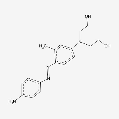 Cc1cc(N(CCO)CCO)ccc1N=Nc1ccc(N)cc1